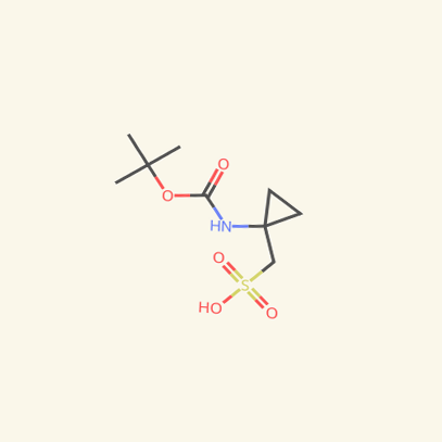 CC(C)(C)OC(=O)NC1(CS(=O)(=O)O)CC1